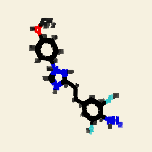 Nc1c(F)cc(C=Cc2ncn(-c3ccc(OC(F)(F)F)cc3)n2)cc1F